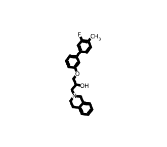 Cc1ccc(-c2cccc(OCC(O)CN3CCc4ccccc4C3)c2)cc1F